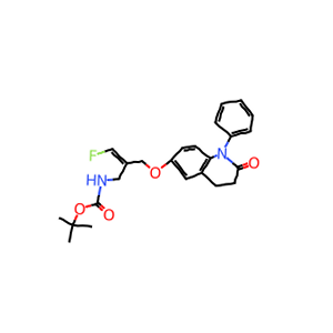 CC(C)(C)OC(=O)NC/C(=C\F)COc1ccc2c(c1)CCC(=O)N2c1ccccc1